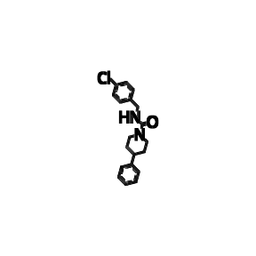 O=C(NCc1ccc(Cl)cc1)N1CCC(c2ccccc2)CC1